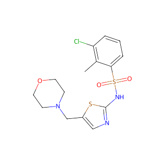 Cc1c(Cl)cccc1S(=O)(=O)Nc1ncc(CN2CCOCC2)s1